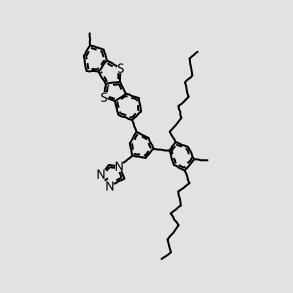 CCCCCCCCc1cc(-c2cc(-c3ccc4c(c3)sc3c5ccc(C)cc5sc43)cc(-n3cnnc3)c2)c(CCCCCCCC)cc1C